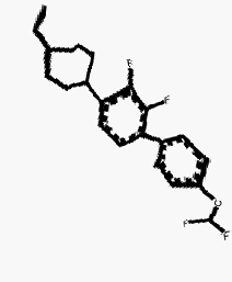 CCC1CCC(c2ccc(-c3ccc(OC(F)F)cc3)c(F)c2F)CC1